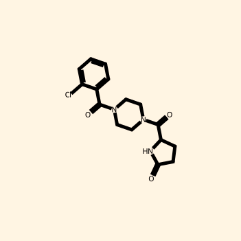 O=C1CCC(C(=O)N2CCN(C(=O)c3ccccc3Cl)CC2)N1